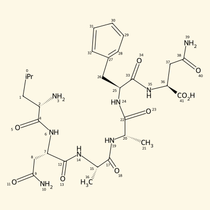 CC(C)C[C@H](N)C(=O)N[C@@H](CC(N)=O)C(=O)N[C@@H](C)C(=O)N[C@@H](C)C(=O)N[C@@H](Cc1ccccc1)C(=O)N[C@@H](CC(N)=O)C(=O)O